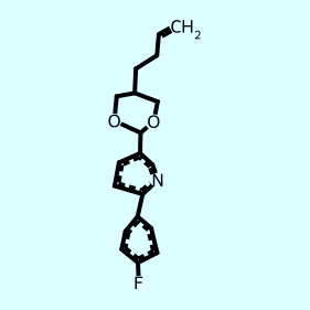 C=CCCC1COC(c2ccc(-c3ccc(F)cc3)nc2)OC1